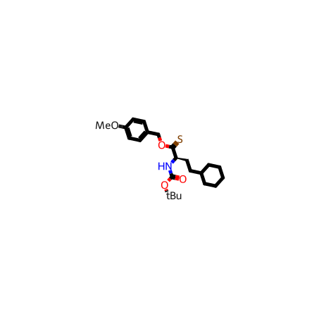 COc1ccc(COC(=S)[C@@H](CCC2CCCCC2)NC(=O)OC(C)(C)C)cc1